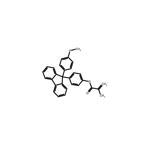 C=C(C)C(=O)Oc1ccc(C2(c3ccc(OC)cc3)c3ccccc3-c3ccccc32)cc1